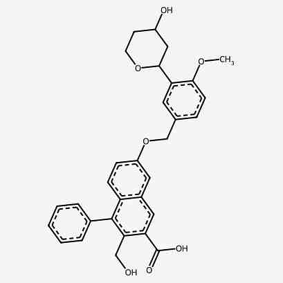 COc1ccc(COc2ccc3c(-c4ccccc4)c(CO)c(C(=O)O)cc3c2)cc1C1CC(O)CCO1